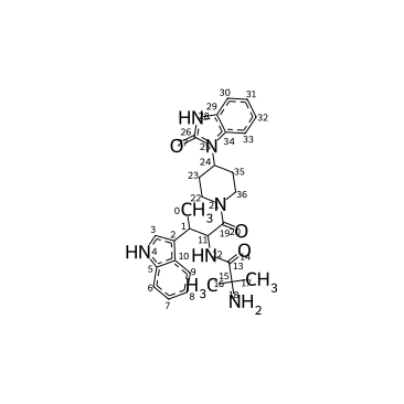 CC(c1c[nH]c2ccccc12)C(NC(=O)C(C)(C)N)C(=O)N1CCC(n2c(=O)[nH]c3ccccc32)CC1